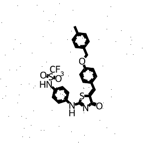 Cc1ccc(COc2ccc(/C=C3\SC(Nc4ccc(NS(=O)(=O)C(F)(F)F)cc4)=NC3=O)cc2)cc1